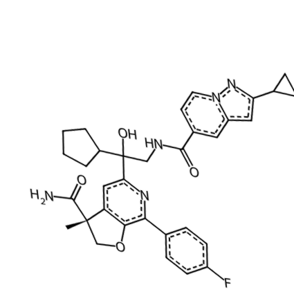 C[C@]1(C(N)=O)COc2c1cc(C(O)(CNC(=O)c1ccn3nc(C4CC4)cc3c1)C1CCCC1)nc2-c1ccc(F)cc1